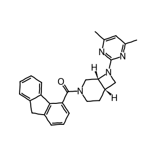 Cc1cc(C)nc(N2C[C@@H]3CCN(C(=O)c4cccc5c4-c4ccccc4C5)C[C@@H]32)n1